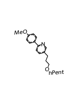 CCCCCOCCCc1ccc(-c2ccc(OC)cc2)nc1